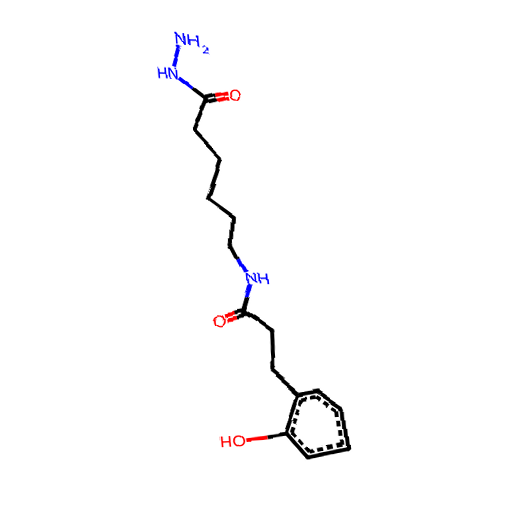 NNC(=O)CCCCCNC(=O)CCc1ccccc1O